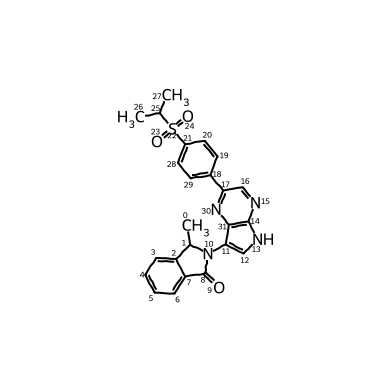 CC1c2ccccc2C(=O)N1c1c[nH]c2ncc(-c3ccc(S(=O)(=O)C(C)C)cc3)nc12